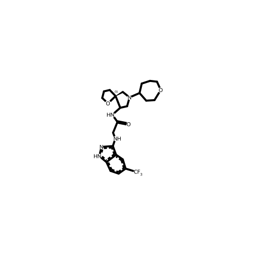 O=C(CNc1n[nH]c2ccc(C(F)(F)F)cc12)NC1CN(C2CCCOCC2)C[C@@]12CCCO2